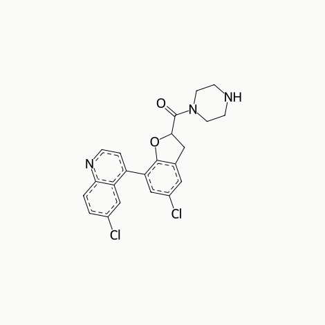 O=C(C1Cc2cc(Cl)cc(-c3ccnc4ccc(Cl)cc34)c2O1)N1CCNCC1